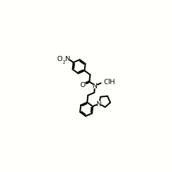 CN(CCc1ccccc1N1CCCC1)C(=O)Cc1ccc([N+](=O)[O-])cc1.Cl